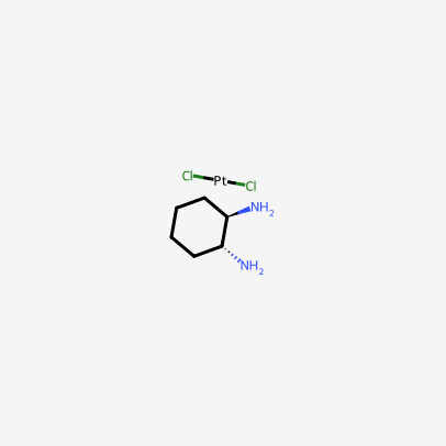 N[C@@H]1CCCC[C@H]1N.[Cl][Pt][Cl]